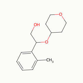 Cc1ccccc1C(CO)OC1CCOCC1